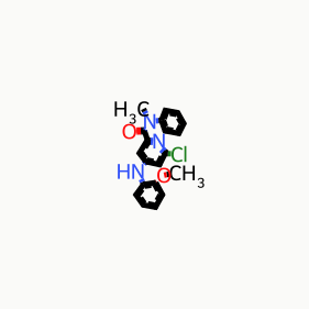 COc1ccccc1Nc1cc(Cl)nc(C(=O)N(C)c2ccccc2)c1